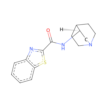 O=C(N[C@@H]1CN2CCC1CC2)c1nc2ccccc2s1